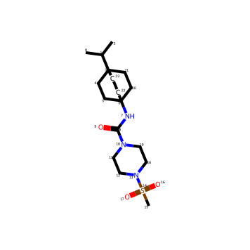 CC(C)C12CCC(NC(=O)N3CCN(S(C)(=O)=O)CC3)(CC1)CC2